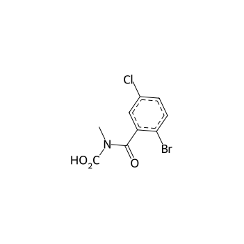 CN(C(=O)O)C(=O)c1cc(Cl)ccc1Br